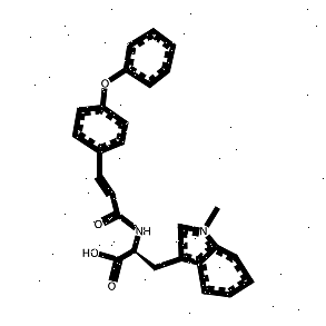 Cn1cc(C[C@H](NC(=O)/C=C/c2ccc(Oc3ccccc3)cc2)C(=O)O)c2ccccc21